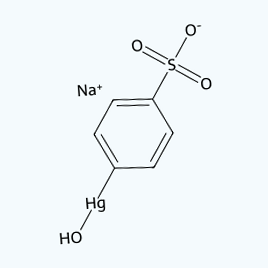 O=S(=O)([O-])c1cc[c]([Hg][OH])cc1.[Na+]